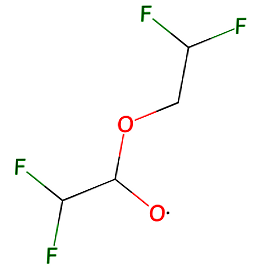 [O]C(OCC(F)F)C(F)F